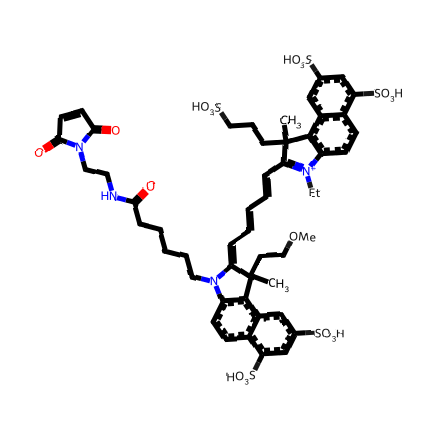 CC[N+]1=C(/C=C/C=C/C=C2/N(CCCCCC(=O)NCCN3C(=O)C=CC3=O)c3ccc4c(S(=O)(=O)O)cc(S(=O)(=O)O)cc4c3C2(C)CCOC)C(C)(CCCS(=O)(=O)O)c2c1ccc1c(S(=O)(=O)O)cc(S(=O)(=O)O)cc21